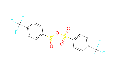 O=S(OS(=O)(=O)c1ccc(C(F)(F)F)cc1)c1ccc(C(F)(F)F)cc1